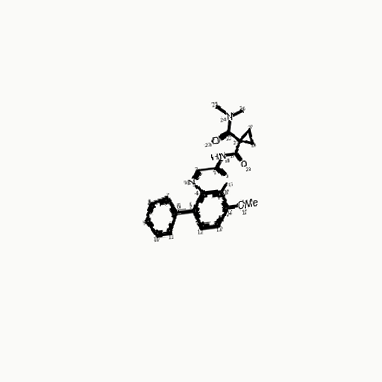 C=C(/C=N\c1c(-c2ccccc2)ccc(OC)c1C)NC(=O)C1(C(=O)N(C)C)CC1